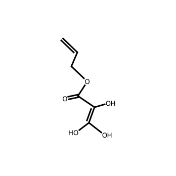 C=CCOC(=O)C(O)=C(O)O